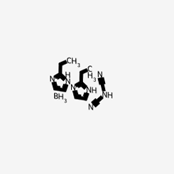 B.CCc1ncc[nH]1.CCc1ncc[nH]1.N#CNC#N